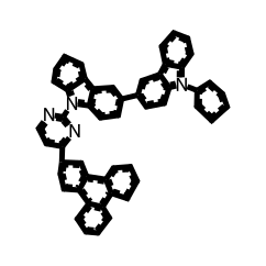 c1ccc(-n2c3ccccc3c3cc(-c4ccc5c(c4)c4ccccc4n5-c4nccc(-c5ccc6c7ccccc7c7ccccc7c6c5)n4)ccc32)cc1